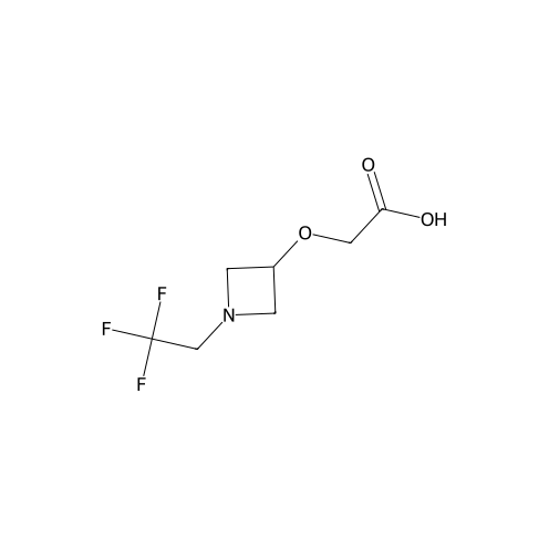 O=C(O)COC1CN(CC(F)(F)F)C1